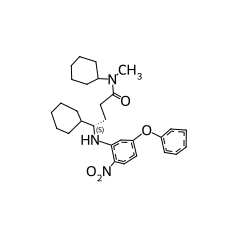 CN(C(=O)CC[C@H](Nc1cc(Oc2ccccc2)ccc1[N+](=O)[O-])C1CCCCC1)C1CCCCC1